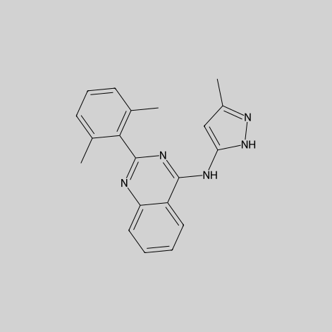 Cc1cc(Nc2nc(-c3c(C)cccc3C)nc3ccccc23)[nH]n1